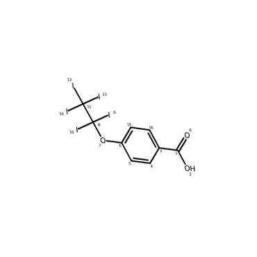 O=C(O)c1ccc(OC(I)(I)C(I)(I)I)cc1